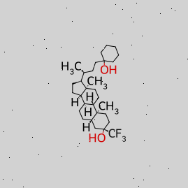 C[C@@H](CCC1(O)CCCCC1)[C@@H]1CC[C@H]2[C@@H]3CC[C@H]4C[C@](O)(C(F)(F)F)CC[C@]4(C)[C@H]3CC[C@@]21C